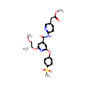 COC[C@@H](C)Oc1cc(C(=O)Nc2ccc(CC(=O)OC)cn2)cc(Oc2ccc(S(C)(=O)=O)cc2)n1